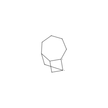 C1CCC2C[C]3CC2[C]3C1